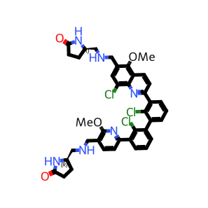 COc1nc(-c2cccc(-c3cccc(-c4ccc5c(OC)c(CNC[C@H]6CCC(=O)N6)cc(Cl)c5n4)c3Cl)c2Cl)ccc1CNC[C@H]1CCC(=O)N1